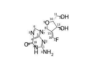 Nc1nc2c(ncn2[C@@H]2O[C@H](CO)[C@@H](O)/C2=C\F)c(=O)[nH]1